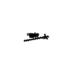 CC(C)(C)OC(N)=S.CCCCCCCCCCCCCCCCCCOC(=S)N(CC)CC.N.O=S(=O)(O)O